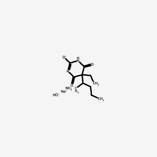 CCCC(C)C1(CC)C(=O)N=C([O-])NC1=O.Cl.N.[Na+]